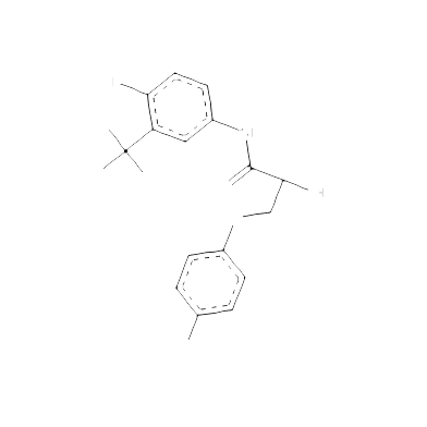 C[C@](O)(COc1ccc(F)cc1)C(=O)Nc1ccc(F)c(C(F)(F)F)c1